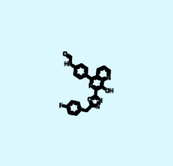 O=CNc1ccc(-c2nc(-c3nnc(Cc4ccc(F)cc4)o3)c(O)c3ncccc23)cc1